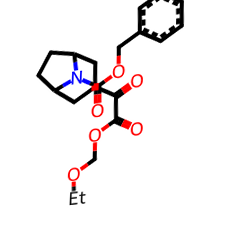 CCOCOC(=O)C(=O)C1CC2CCC(C1)N2C(=O)OCc1ccccc1